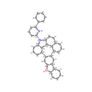 c1ccc(-c2cccc(-n3c4cccc5c4c4c6c(cccc6ccc43)-c3cc4c(cc3-5)oc3ccccc34)n2)cc1